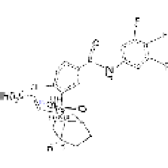 O=C(O)/C=C/[C@]1(O)CC2CC[C@@H](C1)[C@H]2S(=O)(=O)c1cc(C(=O)Nc2cc(F)c(F)c(F)c2)ccc1Cl